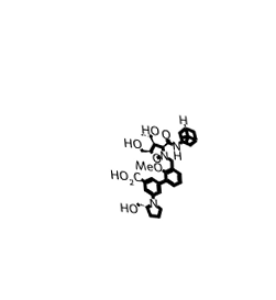 COc1c(CN2O[C@@H](CO)[C@@H]([C@H](C)O)[C@H]2C(=O)NC2CC3C[C@H](C2)C3(C)C)cccc1-c1cc(C(=O)O)cc(N2CCC[C@@H]2CO)c1